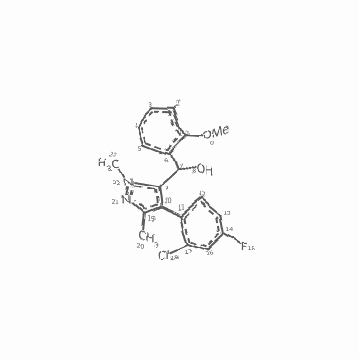 COc1ccccc1C(O)c1c(-c2ccc(F)cc2Cl)c(C)nn1C